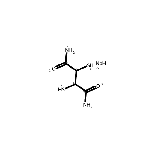 NC(=O)C(S)C(S)C(N)=O.[NaH]